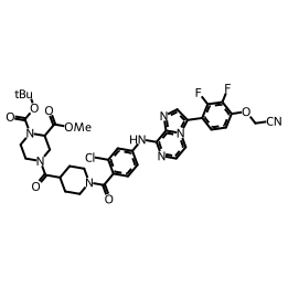 COC(=O)C1CN(C(=O)C2CCN(C(=O)c3ccc(Nc4nccn5c(-c6ccc(OCC#N)c(F)c6F)cnc45)cc3Cl)CC2)CCN1C(=O)OC(C)(C)C